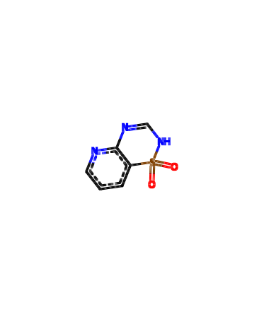 O=S1(=O)NC=Nc2ncccc21